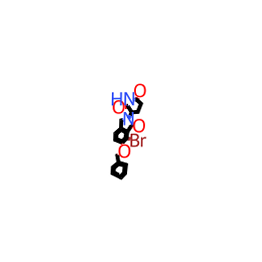 O=C1CCC(N2Cc3ccc(OCc4ccccc4)c(Br)c3C2=O)C(=O)N1